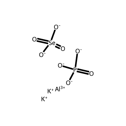 O=P([O-])([O-])[O-].O=[Se](=O)([O-])[O-].[Al+3].[K+].[K+]